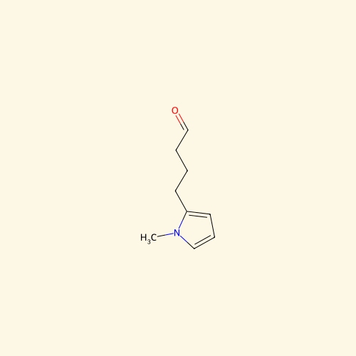 Cn1cccc1CCCC=O